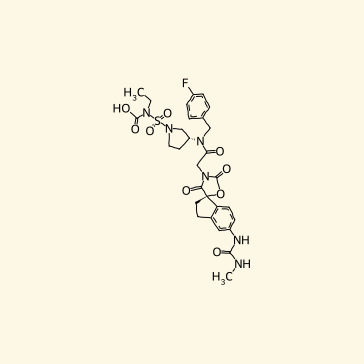 CCN(C(=O)O)S(=O)(=O)N1CC[C@@H](N(Cc2ccc(F)cc2)C(=O)CN2C(=O)O[C@@]3(CCc4cc(NC(=O)NC)ccc43)C2=O)C1